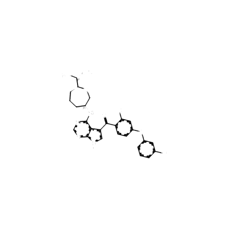 C[C@@H](O)[C@@H]1CCC[C@@H](Nc2ncnc3[nH]cc(C(=O)c4ccc(Oc5cccc(Cl)c5)cc4Cl)c23)CO1